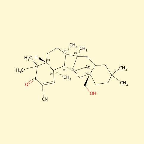 CC(=O)C[C@@H]1[C@@]2(C)C=C(C#N)C(=O)C(C)(C)[C@@H]2CC[C@@]1(C)[C@]1(C)CC[C@@]2(CO)CCC(C)(C)CC2C1